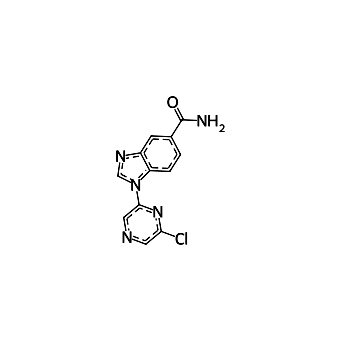 NC(=O)c1ccc2c(c1)ncn2-c1cncc(Cl)n1